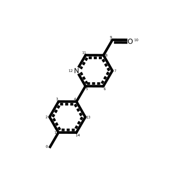 Cc1ccc(-c2ccc([C]=O)cn2)cc1